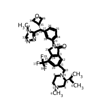 CC(C)[C@H]1CN(C)CCN1Cc1cc2c(c(C(F)(F)F)c1)CN(c1cccc([C@H](c3nncn3C)C3COC3)c1)C2=O